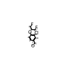 O=Cc1ccc(OC(CF)CF)c(Cl)c1